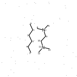 CCCCCC.CN(C)CCN(C)C